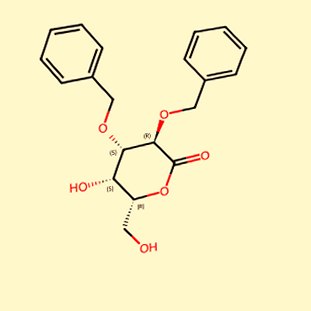 O=C1O[C@H](CO)[C@H](O)[C@H](OCc2ccccc2)[C@H]1OCc1ccccc1